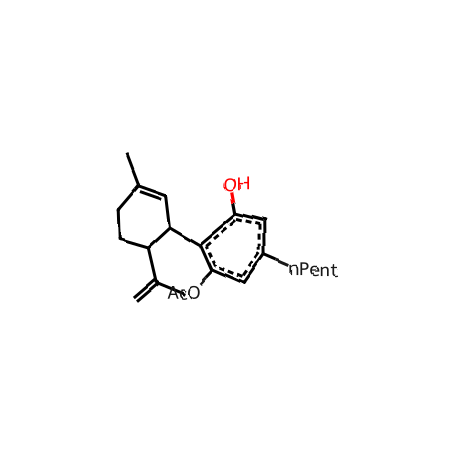 C=C(C)C1CCC(C)=CC1c1c(O)cc(CCCCC)cc1OC(C)=O